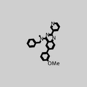 COc1cccc(-c2ccc3nc(-c4cccnc4)nc(N(C)Cc4ccccc4)c3c2)c1